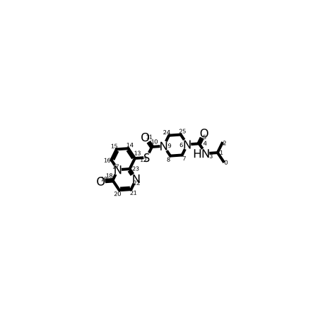 CC(C)NC(=O)N1CCN(C(=O)Sc2cccn3c(=O)ccnc23)CC1